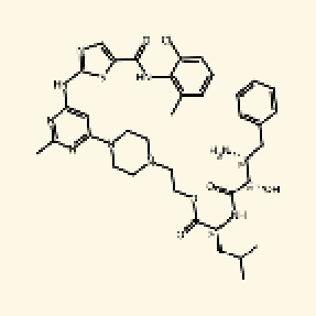 Cc1nc(Nc2ncc(C(=O)Nc3c(C)cccc3Cl)s2)cc(N2CCN(CCOC(=O)[C@H](CC(C)C)NC(=O)[C@@H](O)[C@H](N)Cc3ccccc3)CC2)n1